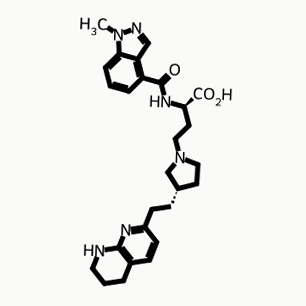 Cn1ncc2c(C(=O)N[C@H](CCN3CC[C@H](CCc4ccc5c(n4)NCCC5)C3)C(=O)O)cccc21